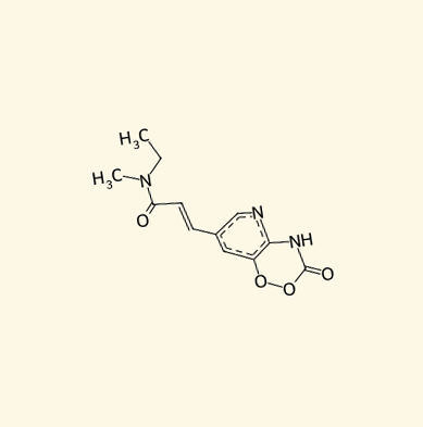 CCN(C)C(=O)/C=C/c1cnc2c(c1)OOC(=O)N2